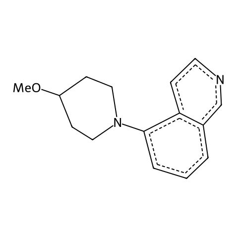 COC1CCN(c2cccc3cnccc23)CC1